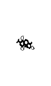 COc1cc(C(C)C)c(OC)c2c1C1(C)CCC(=O)C(C)=C1CC2